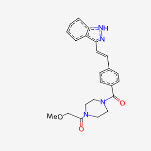 COCC(=O)N1CCN(C(=O)c2ccc(C=Cc3n[nH]c4ccccc34)cc2)CC1